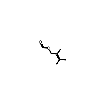 CC(C)=C(C)COC=O